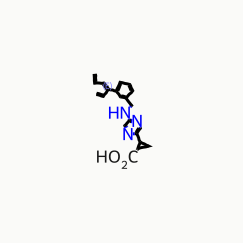 C=C/C=C(\C=C)c1cccc(CNc2cnc(C3CC3C(=O)O)cn2)c1